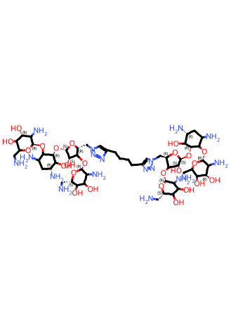 NCC1O[C@H](OC2C(N)C[C@@H](N)C(O)[C@H]2O[C@@H]2O[C@H](Cn3cc(CCCCc4cn(C[C@H]5O[C@@H](O[C@H]6C(O[C@H]7OC(CN)C(O)[C@H](O)C7N)C(N)C[C@@H](N)C6O)[C@@H](O)C5O[C@H]5O[C@@H](CN)C(O)C(O)C5N)nn4)nn3)C(O[C@H]3O[C@@H](CN)C(O)C(O)C3N)[C@@H]2O)C(N)[C@@H](O)C1O